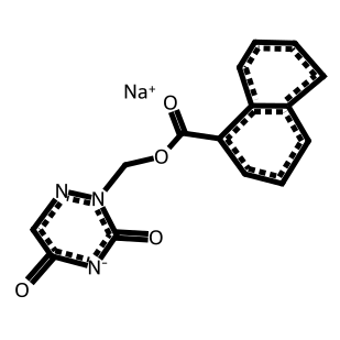 O=C(OCn1ncc(=O)[n-]c1=O)c1cccc2ccccc12.[Na+]